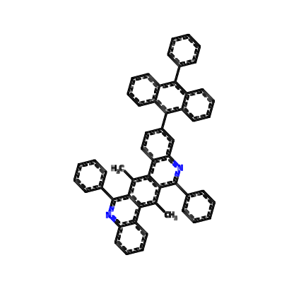 Cc1c2c(-c3ccccc3)nc3cc(-c4c5ccccc5c(-c5ccccc5)c5ccccc45)ccc3c2c(C)c2c(-c3ccccc3)nc3ccccc3c12